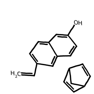 C1=CC2C=CC1C2.C=Cc1ccc2cc(O)ccc2c1